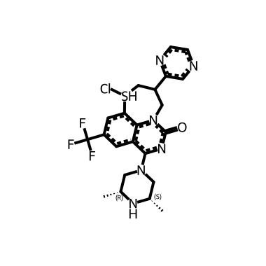 C[C@@H]1CN(c2nc(=O)n3c4c(cc(C(F)(F)F)cc24)[SH](Cl)CC(c2cnccn2)C3)C[C@H](C)N1